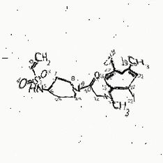 C=CS(=O)(=O)NC1CCN(C(=O)CN(C)c2cc(Cl)c(C)cc2I)CC1